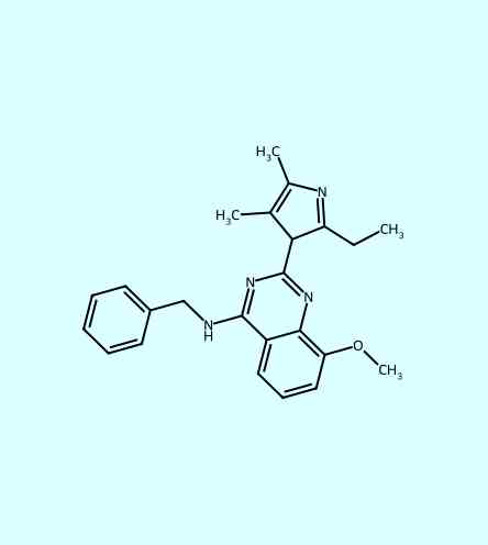 CCC1=NC(C)=C(C)C1c1nc(NCc2ccccc2)c2cccc(OC)c2n1